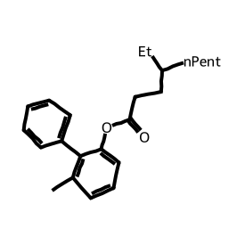 CCCCCC(CC)CCC(=O)Oc1cccc(C)c1-c1ccccc1